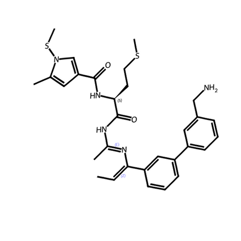 C/C=C(\N=C(/C)NC(=O)[C@H](CCSC)NC(=O)c1cc(C)n(SC)c1)c1cccc(-c2cccc(CN)c2)c1